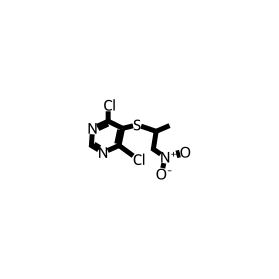 CC(C[N+](=O)[O-])Sc1c(Cl)ncnc1Cl